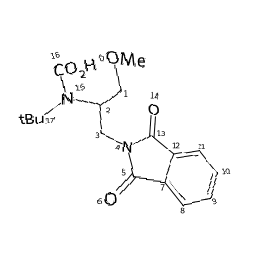 COCC(CN1C(=O)c2ccccc2C1=O)N(C(=O)O)C(C)(C)C